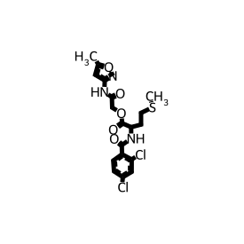 CSCCC(NC(=O)c1ccc(Cl)cc1Cl)C(=O)OCC(=O)Nc1cc(C)on1